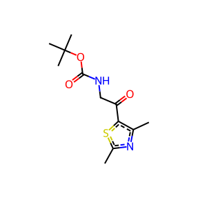 Cc1nc(C)c(C(=O)CNC(=O)OC(C)(C)C)s1